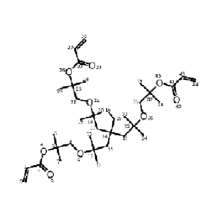 C=CC(=O)OC(C)(C)COC(C)(C)CC(CC)(CC(C)(C)OCC(C)(C)OC(=O)C=C)CC(C)(C)OCC(C)(C)OC(=O)C=C